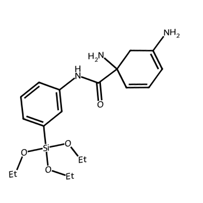 CCO[Si](OCC)(OCC)c1cccc(NC(=O)C2(N)C=CC=C(N)C2)c1